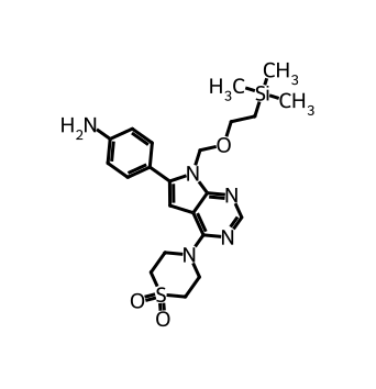 C[Si](C)(C)CCOCn1c(-c2ccc(N)cc2)cc2c(N3CCS(=O)(=O)CC3)ncnc21